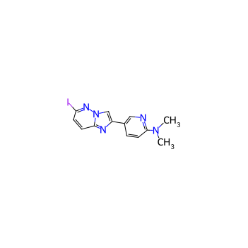 CN(C)c1ccc(-c2cn3nc(I)ccc3n2)cn1